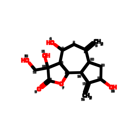 C=C1CC(O)C2C(OC(=O)C2(O)CO)C2C(=C)C(O)CC12